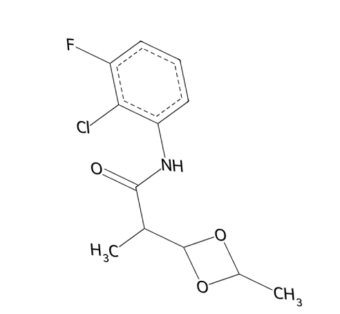 CC1OC(C(C)C(=O)Nc2cccc(F)c2Cl)O1